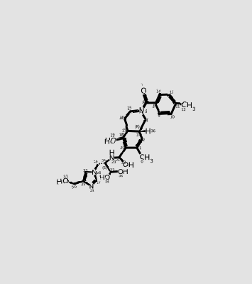 CC1=C[C@H]2CN(C(=O)c3ccc(C)cc3)CCC2C(O)=C1C(O)N[C@@H](Cn1cnc(CO)c1)C(O)O